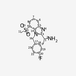 CC(N)c1nc2cccc(S(C)(=O)=O)c2n1Cc1ccc(F)cc1